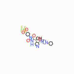 CC(c1ccncc1C(=O)N1CCN(c2ccccc2)CC1)C1NC(=O)N(c2ccc(S(=O)(=O)C(F)(F)F)cc2)C1=O